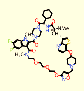 CN[C@@H](C)C(=O)N[C@H](C(=O)N1CCN(C(=O)c2c(C(=O)N(C)CCOCCOCCOc3cc(CN4CCC(Oc5ccnc6ccsc56)CC4)on3)c3cc(F)c(F)cc3n2C)CC1)C1CCCCC1